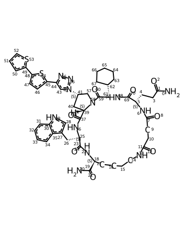 NC(=O)CC[C@@H]1NC(=O)CCC(=O)NCCCC[C@@H](C(N)=O)NC(=O)[C@H](Cc2c[nH]c3ccccc23)NC(=O)[C@@H]2C[C@H](n3cc(-c4ccc(-c5cccs5)s4)nn3)CN2C(=O)[C@H](C2CCCCC2)NC1=O